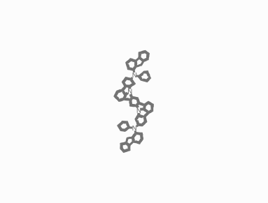 c1ccc(N(c2ccc3c4cccc5c6cc7c(cc6n(c3c2)c45)c2cccc3c4ccc(N(c5ccccc5)c5cccc6c5Cc5ccccc5-6)cc4n7c32)c2cccc3c2Cc2ccccc2-3)cc1